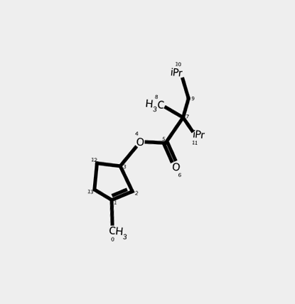 CC1=CC(OC(=O)C(C)(CC(C)C)C(C)C)CC1